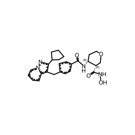 O=C(N[C@@H]1CCOC[C@@H]1C(=O)NO)c1ccc(Cc2c(C3CCCC3)nn3ccccc23)cc1